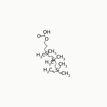 C=C[Si](C=C)(C=C)CC[Si](C)(C)CC[Si](C)(C)CCCOC(=O)O